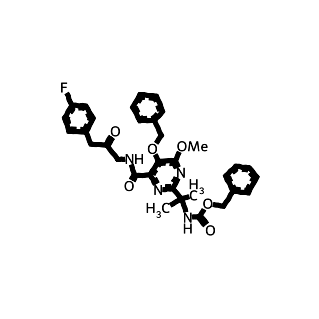 COc1nc(C(C)(C)NC(=O)OCc2ccccc2)nc(C(=O)NCC(=O)Cc2ccc(F)cc2)c1OCc1ccccc1